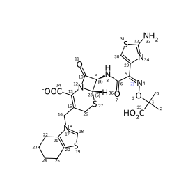 CC(C)(O/N=C(\C(=O)N[C@@H]1C(=O)N2C(C(=O)[O-])=C(C[n+]3csc4c3CCCC4)CS[C@@H]12)c1csc(N)n1)C(=O)O